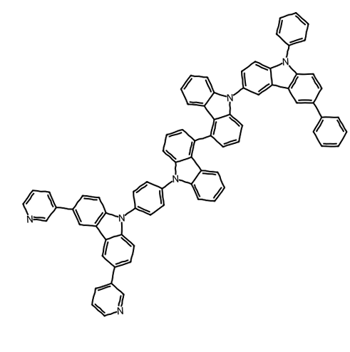 c1ccc(-c2ccc3c(c2)c2cc(-n4c5ccccc5c5c(-c6cccc7c6c6ccccc6n7-c6ccc(-n7c8ccc(-c9cccnc9)cc8c8cc(-c9cccnc9)ccc87)cc6)cccc54)ccc2n3-c2ccccc2)cc1